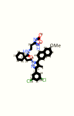 COc1ccc2cc(-c3c(C)c(-c4cc(Cl)cc(Cl)c4)nn3CCC3(C(=O)NCCc4nc(=O)o[nH]4)C=CC=CC3)ccc2c1